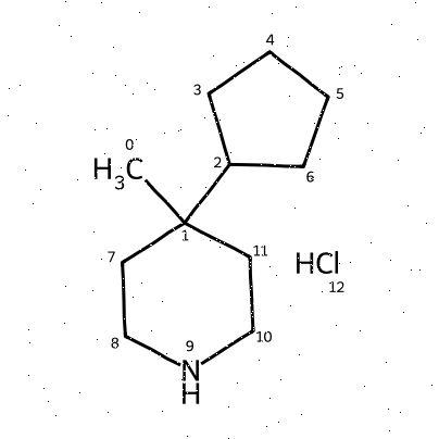 CC1(C2CCCC2)CCNCC1.Cl